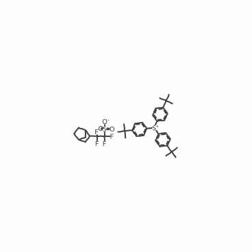 CC(C)(C)c1ccc([S+](c2ccc(C(C)(C)C)cc2)c2ccc(C(C)(C)C)cc2)cc1.O=S(=O)([O-])C(F)(F)C(F)(F)C1CC2CCC1C2